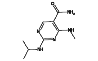 CNc1nc(NC(C)C)ncc1C(N)=O